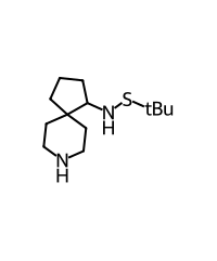 CC(C)(C)SNC1CCCC12CCNCC2